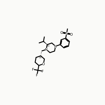 CC(C)[C@H]1CN(c2cccc(S(C)(=O)=O)c2)CCN1C[C@H]1CCC(C(F)(F)F)OC1